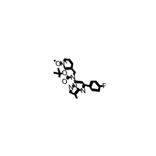 CO[n+]1cccc(CN(C(=O)OC(C)(C)C)c2cc(-c3ccc(F)cc3)nc3c(C)cnn23)c1